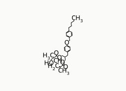 C=C(C)C(=O)OCC(COC(=O)C(C)(C)CO)Cc1ccc(OCc2ccc(CCCCC)cc2)cc1